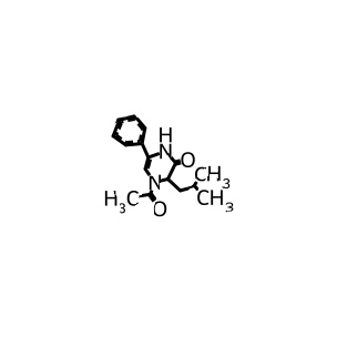 CC(=O)N1C=C(c2ccccc2)NC(=O)C1CC(C)C